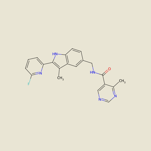 Cc1ncncc1C(=O)NCc1ccc2[nH]c(-c3cccc(F)n3)c(C)c2c1